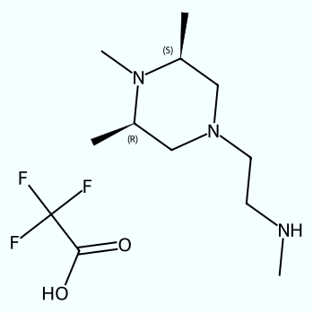 CNCCN1C[C@@H](C)N(C)[C@@H](C)C1.O=C(O)C(F)(F)F